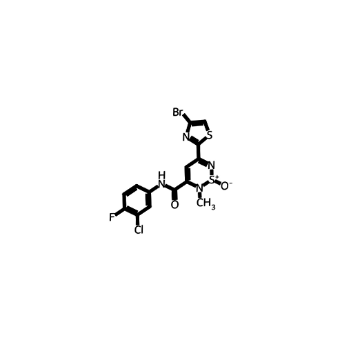 CN1C(C(=O)Nc2ccc(F)c(Cl)c2)=CC(c2nc(Br)cs2)=N[S+]1[O-]